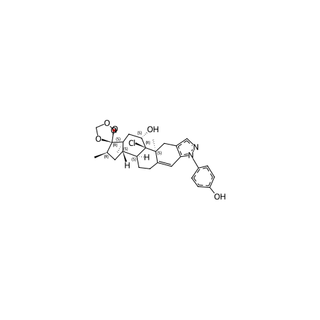 C[C@@H]1C[C@H]2[C@@H]3CCC4=Cc5c(cnn5-c5ccc(O)cc5)C[C@]4(C)[C@@]3(Cl)[C@@H](O)C[C@]2(C)[C@]12OCOC21COCO1